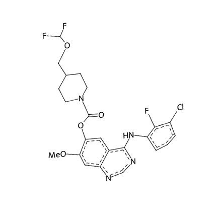 COc1cc2ncnc(Nc3cccc(Cl)c3F)c2cc1OC(=O)N1CCC(COC(F)F)CC1